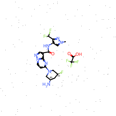 Cn1cc(NC(=O)c2cnn3ccc(N4C[C@H](N)C[C@H](F)C4)nc23)c(C(F)F)n1.O=C(O)C(F)(F)F